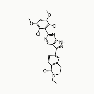 CCN1CCc2cc(-c3n[nH]c4nc(-c5c(Cl)c(OC)cc(OC)c5Cl)ncc34)ccc2C1=O